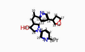 CC(C)c1ccc(N2CC(CC(C)c3ccc(C4CCOC4)cn3)[C@H](O)C2)cn1